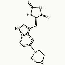 O=C1NC(=S)N/C1=C\c1c[nH]c2ncc(N3CCOCC3)cc12